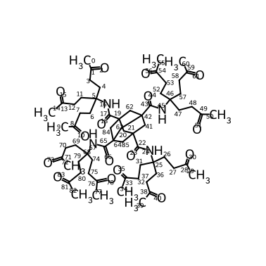 CC(=O)CCC(CCC(C)=O)(CCC(C)=O)NC(=O)C12CC3(C(=O)NC(CCC(C)=O)(CCC(C)=O)CCC(C)=O)CC(C(=O)NC(CCC(C)=O)(CCC(C)=O)CCC(C)=O)(C1)CC(C(=O)NC(CCC(C)=O)(CCC(C)=O)CCC(C)=O)(C2)C3